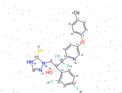 N#Cc1ccc(Oc2ccc(C(F)(F)[C@](O)(CN3N=CNC3S)c3ccc(F)cc3F)nc2)cc1